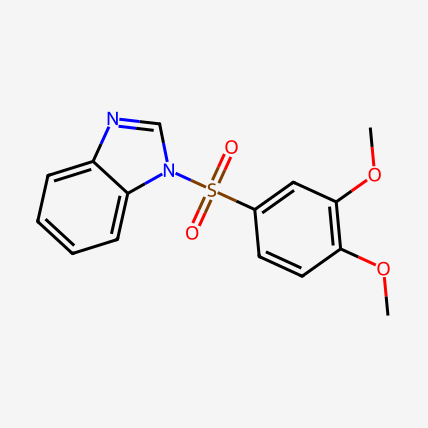 COc1ccc(S(=O)(=O)n2cnc3ccccc32)cc1OC